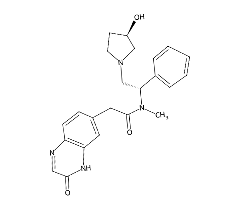 CN(C(=O)Cc1ccc2ncc(=O)[nH]c2c1)[C@H](CN1CC[C@@H](O)C1)c1ccccc1